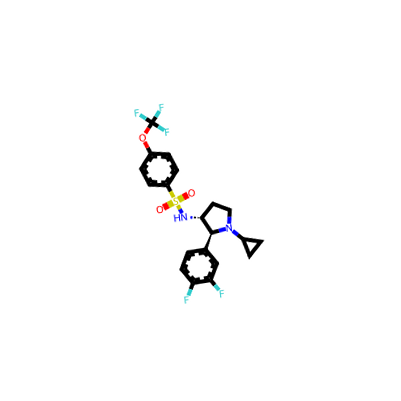 O=S(=O)(N[C@@H]1CCN(C2CC2)[C@H]1c1ccc(F)c(F)c1)c1ccc(OC(F)(F)F)cc1